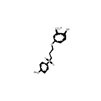 COc1ccc(S(=O)(=O)CCCOc2ccc(O)c(C(=O)O)c2)cc1